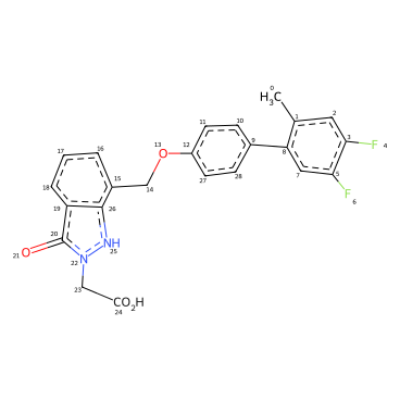 Cc1cc(F)c(F)cc1-c1ccc(OCc2cccc3c(=O)n(CC(=O)O)[nH]c23)cc1